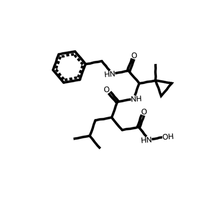 CC(C)CC(CC(=O)NO)C(=O)NC(C(=O)NCc1ccccc1)C1(C)CC1